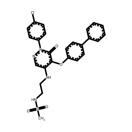 CS(=O)(=O)NCCNc1cnn(-c2ccc(Cl)cc2)c(=O)c1Oc1ccc(-c2ccccc2)cc1